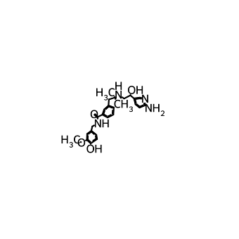 COc1cc(CNC(=O)c2cccc(CC(C)(C)NC[C@@H](O)c3ccc(N)nc3)c2)ccc1O